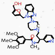 COc1cc(C(=O)N(C)CC(CCN2CCCN(c3nc4ccccc4n3Cc3ccc(CO)o3)CC2)c2cccnc2)cc(OC)c1OC